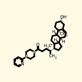 CC(CCC(=O)N1CCN(c2ccccn2)CC1)[C@H]1CC[C@H]2[C@@H]3CC=C4C[C@@H](O)CC[C@]4(C)[C@H]3CC[C@]12C